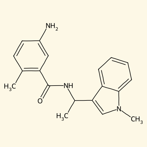 Cc1ccc(N)cc1C(=O)NC(C)c1cn(C)c2ccccc12